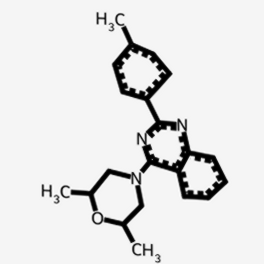 Cc1ccc(-c2nc(N3CC(C)OC(C)C3)c3ccccc3n2)cc1